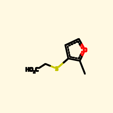 Cc1occc1SCC(=O)O